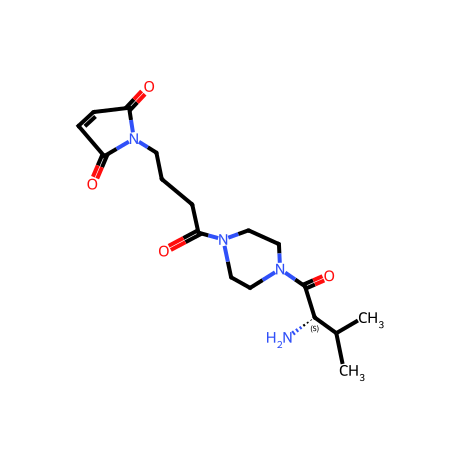 CC(C)[C@H](N)C(=O)N1CCN(C(=O)CCCN2C(=O)C=CC2=O)CC1